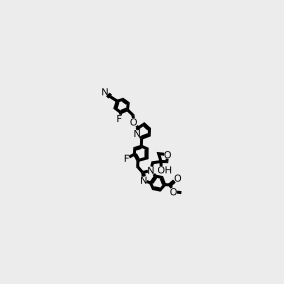 COC(=O)c1ccc2nc(Cc3ccc(-c4cccc(OCc5ccc(C#N)cc5F)n4)cc3F)n(CC3(O)COC3)c2c1